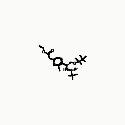 CCOC(=O)Cc1ccc([C@@H](CO[Si](C)(C)C(C)(C)C)N[S@@+]([O-])C(C)(C)C)c(C)c1